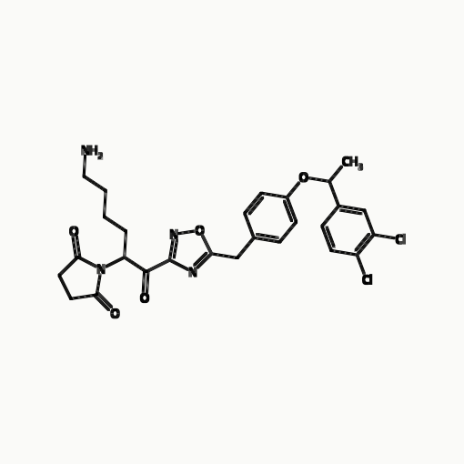 CC(Oc1ccc(Cc2nc(C(=O)C(CCCCN)N3C(=O)CCC3=O)no2)cc1)c1ccc(Cl)c(Cl)c1